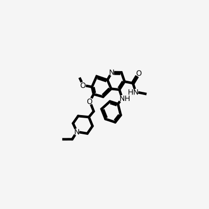 CCN1CCC(COc2cc3c(Nc4ccccc4)c(C(=O)NC)cnc3cc2OC)CC1